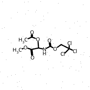 COC(=O)C(NC(=O)OCC(Cl)(Cl)Cl)OC(C)=O